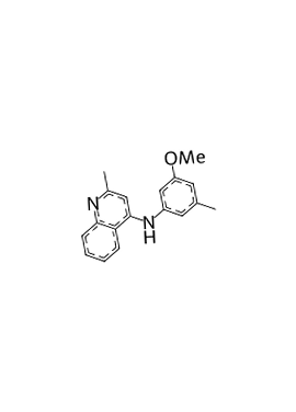 COc1cc(C)cc(Nc2cc(C)nc3ccccc23)c1